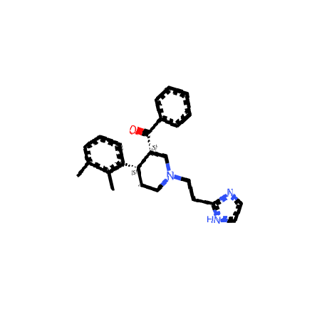 Cc1cccc([C@H]2[CH]CN(CCc3ncc[nH]3)C[C@H]2C(=O)c2ccccc2)c1C